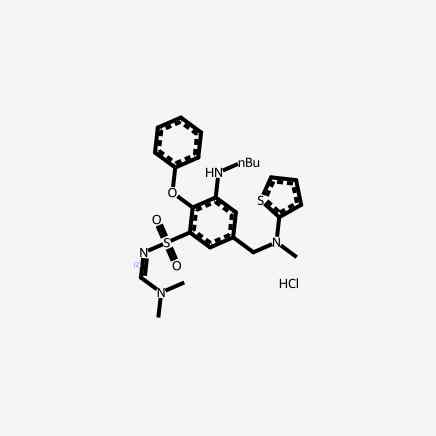 CCCCNc1cc(CN(C)c2cccs2)cc(S(=O)(=O)/N=C\N(C)C)c1Oc1ccccc1.Cl